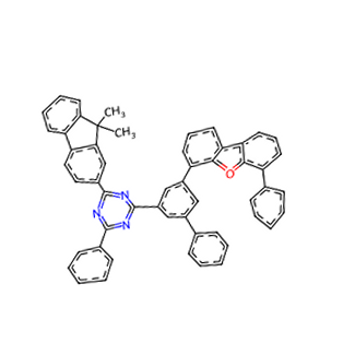 CC1(C)c2ccccc2-c2ccc(-c3nc(-c4ccccc4)nc(-c4cc(-c5ccccc5)cc(-c5cccc6c5oc5c(-c7ccccc7)cccc56)c4)n3)cc21